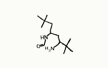 CC(C)(C)CC(CC(N)C(C)(C)C)NC=O